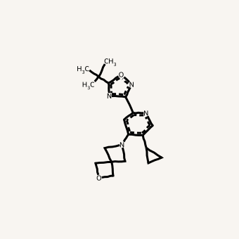 CC(C)(C)c1nc(-c2cc(N3CC4(COC4)C3)c(C3CC3)cn2)no1